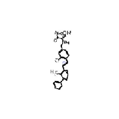 Cc1c(/C=C/c2ccc(CNC(CO)C(N)=O)cc2Cl)cccc1-c1ccccc1